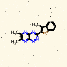 Cc1nc2nnc(-c3sc4ccccc4c3C)nc2nc1C